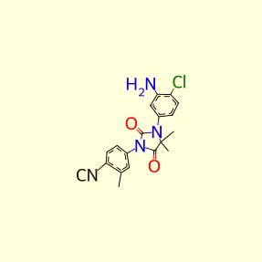 [C-]#[N+]c1ccc(N2C(=O)N(c3ccc(Cl)c(N)c3)C(C)(C)C2=O)cc1C